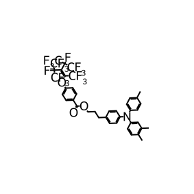 Cc1ccc(N(c2ccc(CCCOC(=O)c3ccc(OC(=C(C(F)(C(F)(F)F)C(F)(F)F)C(F)(C(F)(F)F)C(F)(F)F)C(F)(F)F)cc3)cc2)c2ccc(C)c(C)c2)cc1